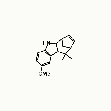 COc1ccc2c(c1)C1C(N2)C2C=CC(C2)C1(C)C